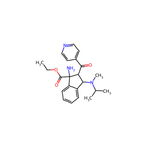 CCOC(=O)C1(N)c2ccccc2C(N(C)C(C)C)C1C(=O)c1ccncc1